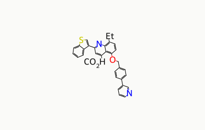 CCc1ccc(OCc2ccc(-c3cccnc3)cc2)c2c(C(=O)O)cc(-c3csc4ccccc34)nc12